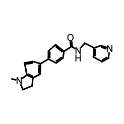 CN1CCc2cc(-c3ccc(C(=O)NCc4cccnc4)cc3)ccc21